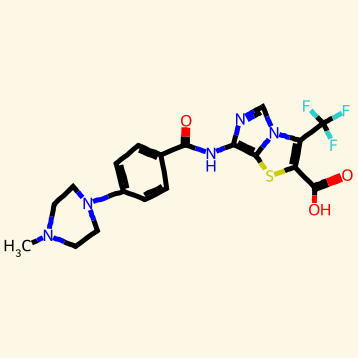 CN1CCN(c2ccc(C(=O)Nc3ncn4c(C(F)(F)F)c(C(=O)O)sc34)cc2)CC1